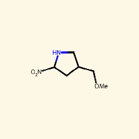 COCC1CNC([N+](=O)[O-])C1